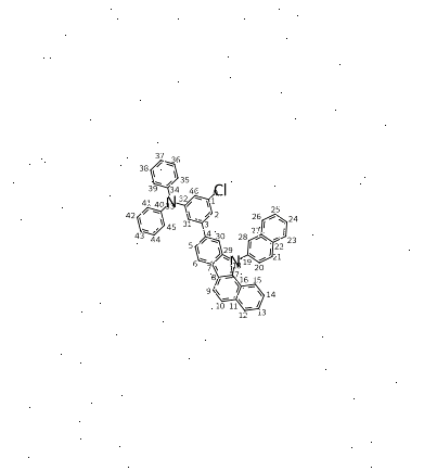 Clc1cc(-c2ccc3c4ccc5ccccc5c4n(-c4ccc5ccccc5c4)c3c2)cc(N(c2ccccc2)c2ccccc2)c1